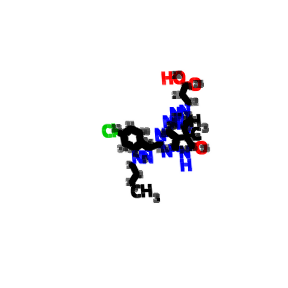 CCCCn1nc(-c2nc(N)c3c(n2)NC(=O)[C@@]3(C)c2cn(CCC(=O)O)nn2)c2ccc(Cl)cc21